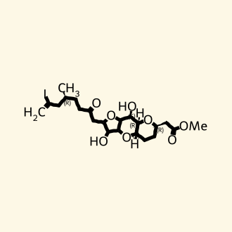 C=C(I)C[C@H](C)CCC(=O)CC1OC2C(O[C@H]3CC[C@H](CC(=O)OC)O[C@@H]3[C@@H]2O)C1O